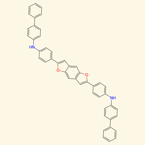 c1ccc(-c2ccc(Nc3ccc(-c4cc5cc6oc(-c7ccc(Nc8ccc(-c9ccccc9)cc8)cc7)cc6cc5o4)cc3)cc2)cc1